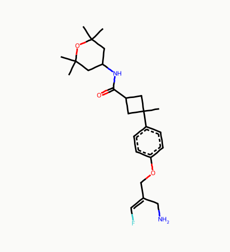 CC1(C)CC(NC(=O)C2CC(C)(c3ccc(OC/C(=C/F)CN)cc3)C2)CC(C)(C)O1